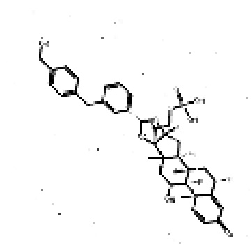 C[C@]12C=CC(=O)C=C1[C@@H](F)C[C@H]1[C@@H]3C[C@H]4O[C@@H](c5cccc(Cc6ccc(CO)cc6)c5)O[C@@]4(C(=O)COP(=O)(O)O)[C@@]3(C)C[C@H](O)[C@@]12F